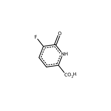 O=C(O)c1ccc(F)c(=O)[nH]1